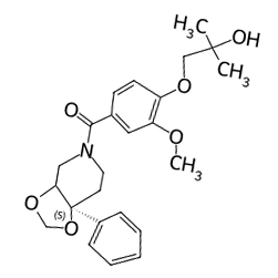 COc1cc(C(=O)N2CC[C@@]3(c4ccccc4)OCOC3C2)ccc1OCC(C)(C)O